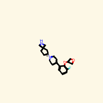 Fc1cccc(C2CCN([C@@H]3CCC4(CNC4)C3)CC2)c1OC1COC1